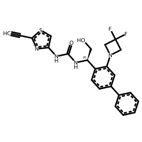 C#Cc1nc(NC(=O)N[C@@H](CO)c2ccc(-c3ccccc3)cc2N2CC(F)(F)C2)cs1